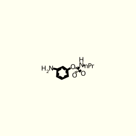 CCCNS(=O)(=O)Oc1cccc(N)c1